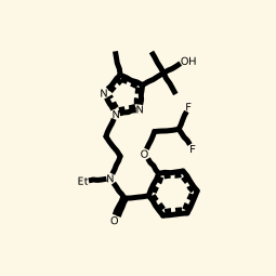 CCN(CCn1nc(C)c(C(C)(C)O)n1)C(=O)c1ccccc1OCC(F)F